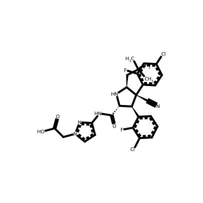 CC(C)(C)C[C@@H]1N[C@@H](C(=O)Nc2ccn(CC(=O)O)n2)[C@H](c2cccc(Cl)c2F)[C@@]1(C#N)c1ccc(Cl)cc1F